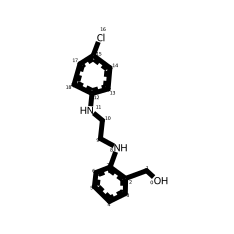 OCc1ccccc1NCCNc1ccc(Cl)cc1